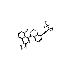 Fc1cccc2c1c(N1CCOc3c(C#CC4(C(F)(F)F)CC4)cccc31)nc1nncn12